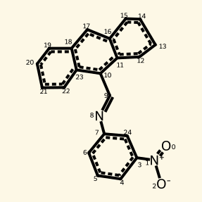 O=[N+]([O-])c1cccc(N=Cc2c3ccccc3cc3ccccc23)c1